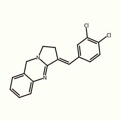 Clc1ccc(/C=C2\CCN3Cc4ccccc4N=C23)cc1Cl